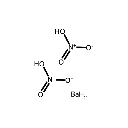 O=[N+]([O-])O.O=[N+]([O-])O.[BaH2]